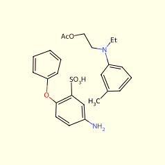 CCN(CCOC(C)=O)c1cccc(C)c1.Nc1ccc(Oc2ccccc2)c(S(=O)(=O)O)c1